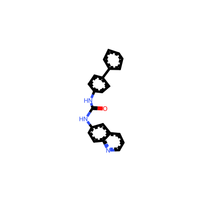 O=C(Nc1ccc(-c2ccccc2)cc1)Nc1ccc2ncccc2c1